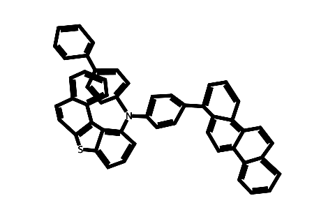 c1ccc(-c2ccc(N(c3ccc(-c4cccc5c4ccc4c6ccccc6ccc54)cc3)c3cccc4sc5ccc6ccccc6c5c34)cc2)cc1